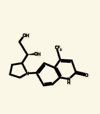 O=c1cc(C(F)(F)F)c2cc(N3CCCC3[C@@H](O)CO)ccc2[nH]1